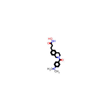 CN(C)c1ccc(C(=O)N2CCc3cc(CCC(=O)NO)ccc3C2)cc1